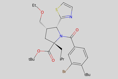 CCOC[C@H]1C[C@@](CC(C)C)(C(=O)OC(C)(C)C)N(C(=O)c2ccc(C(C)(C)C)c(Br)c2)[C@H]1c1nccs1